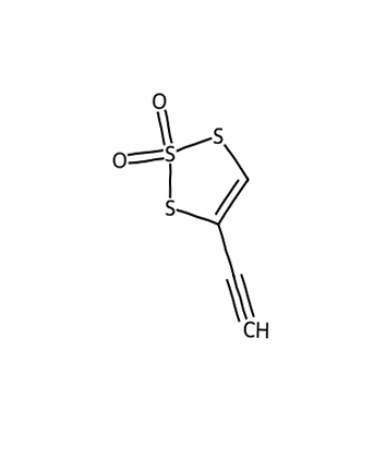 C#CC1=CSS(=O)(=O)S1